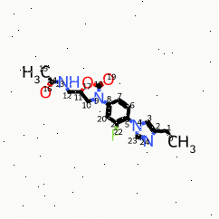 CCc1cn(-c2ccc(N3CC(CNC(C)=O)OC3=O)cc2F)cn1